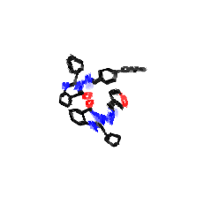 COc1ccc(/C=N/n2c(-c3ccccc3)nc3ccccc3c2=O)cc1.O=c1c2ccccc2nc(-c2ccccc2)n1/N=C/c1ccoc1